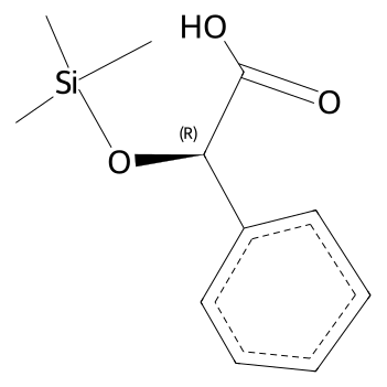 C[Si](C)(C)O[C@@H](C(=O)O)c1ccccc1